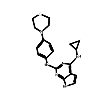 c1cc2c(NC3CC3)nc(Nc3ccc(N4CCOCC4)cc3)nc2[nH]1